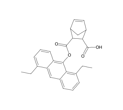 CCc1cccc2c(OC(=O)C3C4C=CC(C4)C3C(=O)O)c3c(CC)cccc3cc12